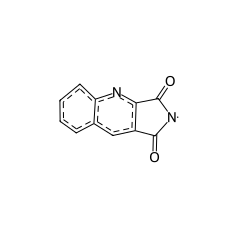 O=C1[N]C(=O)c2nc3ccccc3cc21